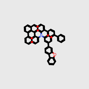 c1ccc(-c2ccc(-c3ccccc3N(c3cccc(-c4ccc5c(c4)oc4ccccc45)c3)c3ccccc3-c3cccc4cccc(-c5ccccc5)c34)cc2)cc1